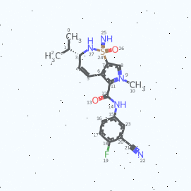 CC(C)[C@H]1C=Cc2c(cn(C)c2C(=O)Nc2ccc(F)c(C#N)c2)S(=N)(=O)N1